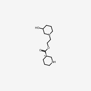 O=C(OCCN1CCCC(O)C1)[C@@H]1CCCNC1